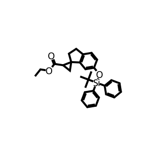 CCOC(=O)C1CC12CCc1ccc(O[Si](c3ccccc3)(c3ccccc3)C(C)(C)C)cc12